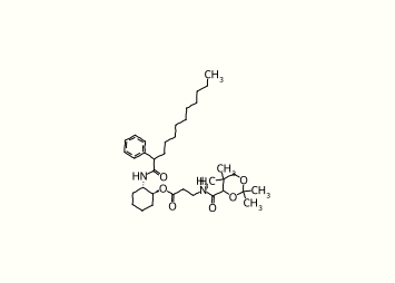 CCCCCCCCCCC(C(=O)N[C@H]1CCCC[C@@H]1OC(=O)CCNC(=O)C1OC(C)(C)OCC1(C)C)c1ccccc1